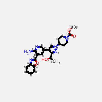 CC(O)c1nn(C2CCN(C(=O)OC(C)(C)C)CC2)cc1-c1cnc(N)c(-c2nc3ccccc3o2)c1